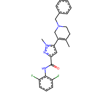 CC1=C(c2cc(C(=O)Nc3c(F)cccc3F)nn2C)CN(Cc2ccccc2)CC1